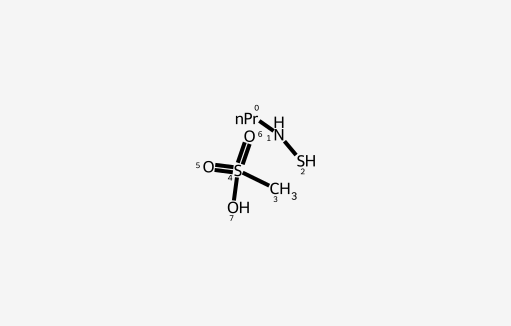 CCCNS.CS(=O)(=O)O